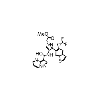 COC(=O)Cn1cc(NC(O)c2cnn3cccnc23)c(-c2cc3sccc3cc2OC(F)F)n1